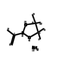 C=C(C)B1OC(C)(C)C(C)(C)O1.N